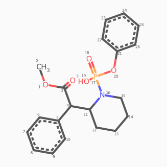 COC(=O)C(c1ccccc1)C1CCCCN1P(=O)(O)Oc1ccccc1